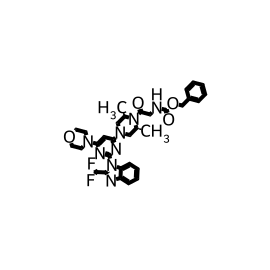 C[C@@H]1CN(c2cc(N3CCOCC3)nc(-n3c(C(F)F)nc4ccccc43)n2)C[C@H](C)N1C(=O)CNC(=O)OCc1ccccc1